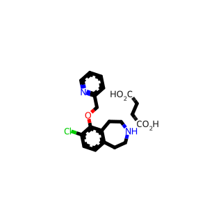 Clc1ccc2c(c1OCc1ccccn1)CCNCC2.O=C(O)CCC(=O)O